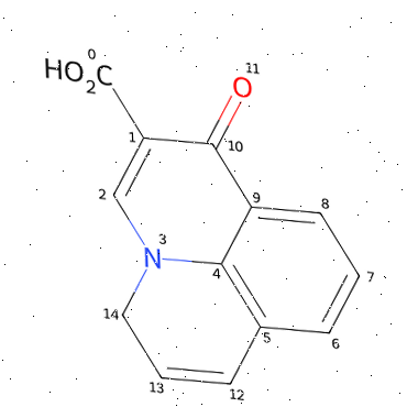 O=C(O)c1cn2c3c(cccc3c1=O)C=CC2